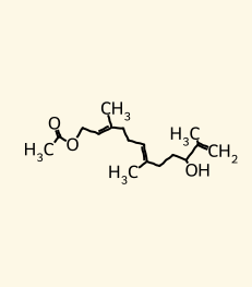 C=C(C)C(O)CCC(C)=CCCC(C)=CCOC(C)=O